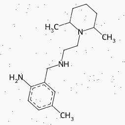 Cc1ccc(N)c(CNCCN2C(C)CCCC2C)c1